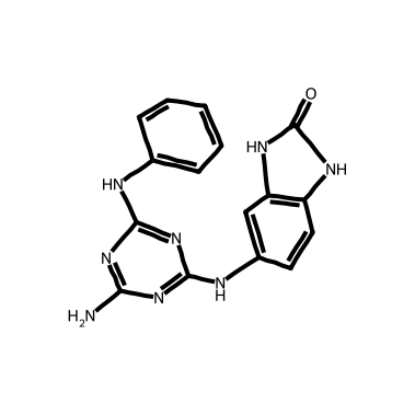 Nc1nc(Nc2ccccc2)nc(Nc2ccc3[nH]c(=O)[nH]c3c2)n1